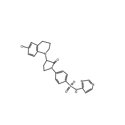 O=C1C(N2CCCc3cc(Cl)ccc32)CCN1c1ccc(S(=O)(=O)Nc2ccncn2)cc1